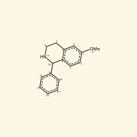 COc1ccc2c(c1)CCNC2c1ccccc1